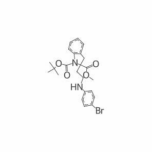 COC(=O)C1(CCNc2ccc(Br)cc2)Cc2ccccc2N1C(=O)OC(C)(C)C